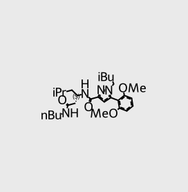 CCCCNC(=O)C[C@H](CC(C)C)NC(=O)c1cc(-c2c(OC)cccc2OC)n(CC(C)CC)n1